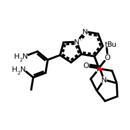 C/C(N)=C/C(=C\N)c1cc2c(N3CC4CCC(C3)N4C(=O)OC(C)(C)C)ccnn2c1